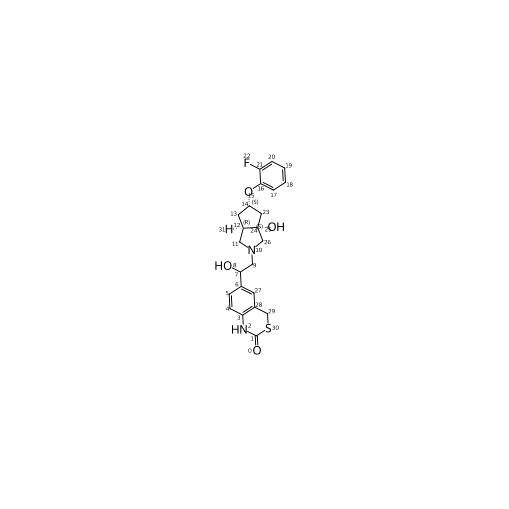 O=C1Nc2ccc(C(O)CN3C[C@H]4C[C@H](Oc5ccccc5F)C[C@@]4(O)C3)cc2CS1